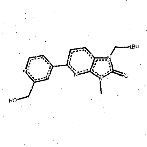 Cn1c(=O)n(CC(C)(C)C)c2ccc(-c3ccnc(CO)c3)nc21